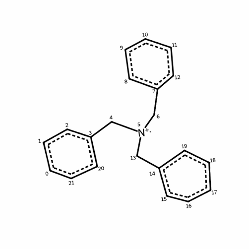 c1ccc(C[N+](Cc2ccccc2)Cc2ccccc2)cc1